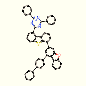 N/C(=N\C(=N/Cc1ccccc1)c1cccc2sc3c(-c4cc(-c5ccc(-c6ccccc6)cc5)c5c(c4)oc4ccccc45)cccc3c12)c1ccccc1